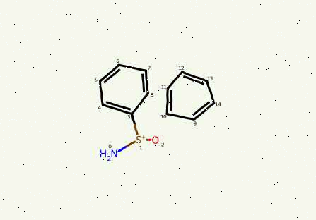 N[S+]([O-])c1ccccc1.c1ccccc1